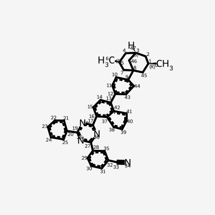 C[C@@H]1C[C@@H]2C[C@H](C)CC(c3ccc(-c4ccc(-c5nc(-c6ccccc6)nc(-c6cccc(C#N)c6)n5)c5ccccc45)cc3)(C1)C2